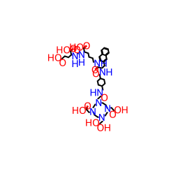 O=C(O)CCC(NC(=O)NC(CCCCNC(=O)C(Cc1ccc2ccccc2c1)NC(=O)C1CCC(CNC(=O)CN2CCN(CC(=O)O)CCN(CC(O)O)CCN(CC(=O)O)CC2)CC1)C(=O)O)C(=O)O